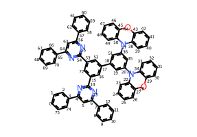 c1ccc(-c2cc(-c3ccccc3)nc(-c3cc(-c4cc(N5c6ccccc6Oc6ccccc65)cc(N5c6ccccc6Oc6ccccc65)c4)cc(-c4nc(-c5ccccc5)cc(-c5ccccc5)n4)c3)n2)cc1